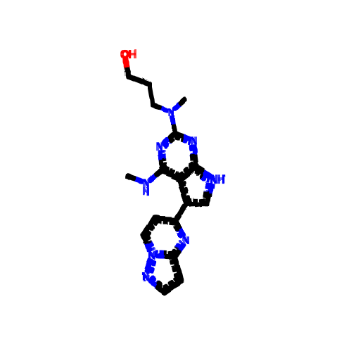 CNc1nc(N(C)CCCO)nc2[nH]cc(-c3ccn4nccc4n3)c12